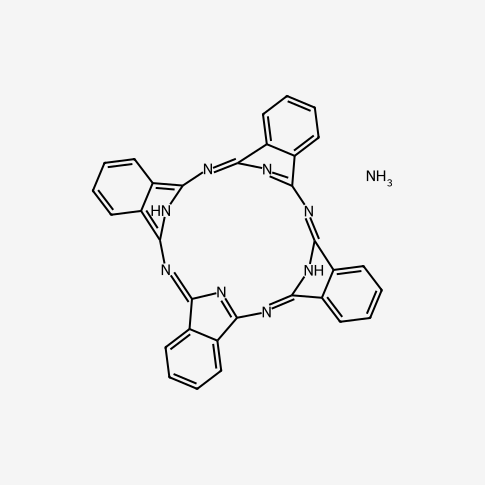 N.c1ccc2c(c1)-c1nc-2nc2[nH]c(nc3nc(nc4[nH]c(n1)c1ccccc41)-c1ccccc1-3)c1ccccc21